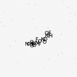 O=C(NC[C@H]1CN(c2cc(F)c(N3CCON(S(=O)(=O)c4ccncc4)CC3)c(F)c2)C(=O)O1)C(F)F